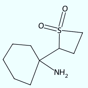 NC1(C2CCS2(=O)=O)CCCCC1